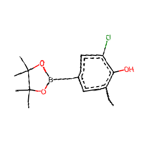 Cc1cc(B2OC(C)(C)C(C)(C)O2)cc(Cl)c1O